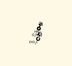 CCOC(=O)C1CCN(c2ncnc(Nc3ccc(-c4csnn4)cc3)c2[N+](=O)[O-])CC1